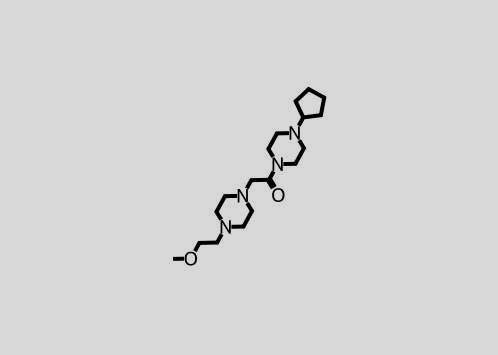 COCCN1CCN(CC(=O)N2CCN(C3CCCC3)CC2)CC1